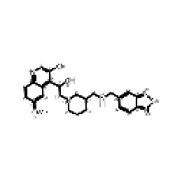 COc1ccc2ncc(Cl)c(C(O)CN3CCCC(CNCc4ccc5nsnc5c4)C3)c2c1